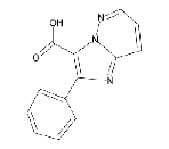 O=C(O)c1c(-c2ccccc2)nc2cccnn12